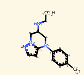 O=C(O)CNC1CN(c2ccc(C(F)(F)F)cc2)c2ccnn2C1